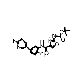 CC(C)(C)OC(=O)Nc1nc(C(=O)Nc2cc(-c3ccc(F)nc3)ccc2Cl)co1